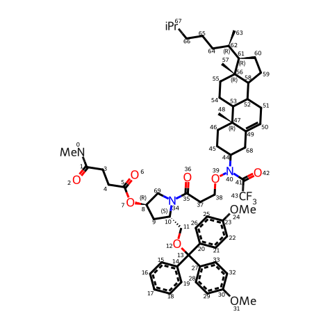 CNC(=O)CCC(=O)O[C@@H]1C[C@@H](COC(c2ccccc2)(c2ccc(OC)cc2)c2ccc(OC)cc2)N(C(=O)CCON(C(=O)C(F)(F)F)C2CC[C@@]3(C)C(=CCC4C3CC[C@@]3(C)C4CC[C@@H]3[C@H](C)CCCC(C)C)C2)C1